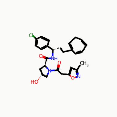 Cc1cc(CC(=O)N2C[C@H](O)C[C@H]2C(=O)N[C@@H](CCC2=CCC=CC=C2)c2ccc(Cl)cc2)on1